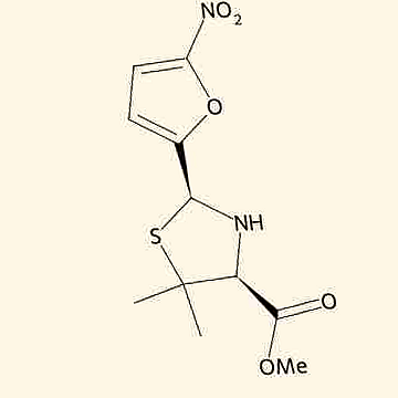 COC(=O)[C@@H]1N[C@H](c2ccc([N+](=O)[O-])o2)SC1(C)C